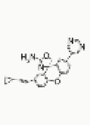 NC1=N[C@]2(CO1)c1cc(C#CC3CC3)ccc1Oc1ccc(-c3cncnc3)cc12